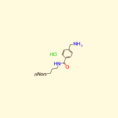 CCCCCCCCCCCCNC(=O)c1ccc(CN)cc1.Cl